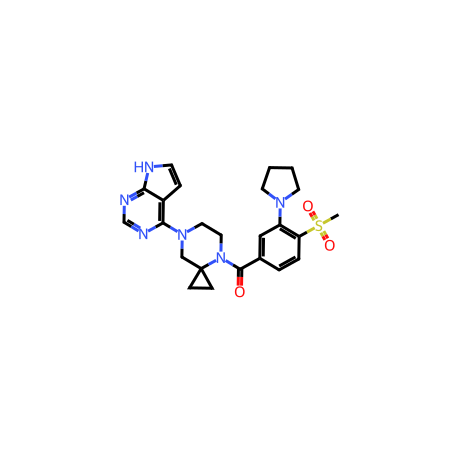 CS(=O)(=O)c1ccc(C(=O)N2CCN(c3ncnc4[nH]ccc34)CC23CC3)cc1N1CCCC1